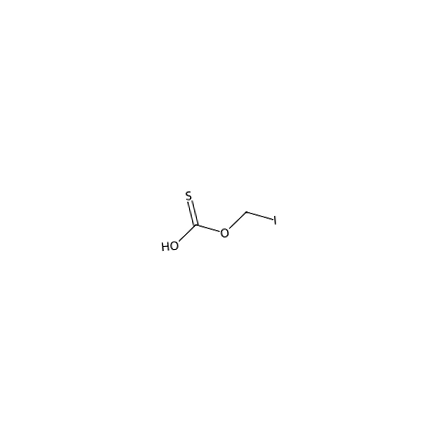 OC(=S)OCI